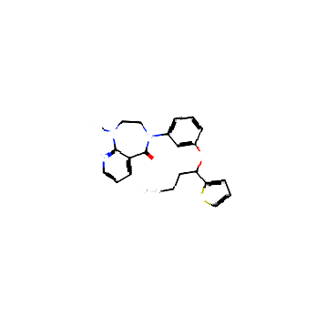 CNCCC(Oc1cccc(N2CCN(C)c3ncccc3C2=O)c1)c1cccs1